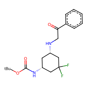 CC(C)(C)OC(=O)N[C@@H]1C[C@H](NCC(=O)c2ccccc2)CC(F)(F)C1